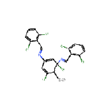 O=CC1C(Cl)=CC(N=Cc2c(Cl)cccc2Cl)=CC1(Cl)N=Cc1c(Cl)cccc1Cl